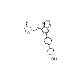 OC1CCN(c2ccc(-c3cc4nccnc4c(NCC4CNCCO4)n3)cc2)CC1